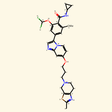 COc1cc(-c2cnc3cc(OCCCN4CCc5nc(C)sc5C4)ccn23)cc(OC(F)F)c1C(=O)NC1CC1